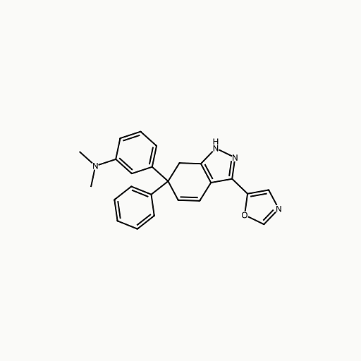 CN(C)c1cccc(C2(c3ccccc3)C=Cc3c(-c4cnco4)n[nH]c3C2)c1